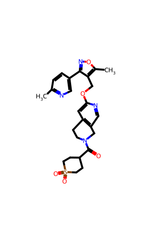 Cc1ccc(-c2noc(C)c2COc2cc3c(cn2)CN(C(=O)C2CCS(=O)(=O)CC2)CC3)cn1